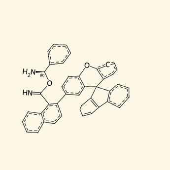 N=C(O[C@@H](N)c1ccccc1)c1c(-c2ccc3c(c2)C2(C4=C(C=CCC4)c4ccccc42)c2ccccc2O3)ccc2ccccc12